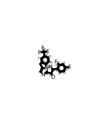 CCC1=CN=C2C(=O)C(c3ccc(F)cc3F)=N[N+]12c1ccc(C(F)(F)F)cc1